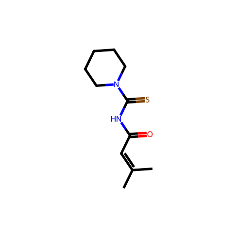 CC(C)=CC(=O)NC(=S)N1CCCCC1